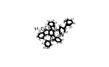 CC1(C)c2ccccc2-c2c1c1c3ccccc3n(-c3cncc(-c4ccccn4)c3)c1c1c3ccccc3n(-c3ccccc3)c21